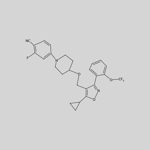 N#Cc1ccc(N2CCC(OCc3c(-c4ccccc4OC(F)(F)F)noc3C3CC3)CC2)cc1F